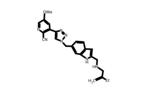 C=C(CC)CNCc1cc2ccc(Cn3cc(-c4cc(OC)cnc4C#N)nn3)cc2[nH]1